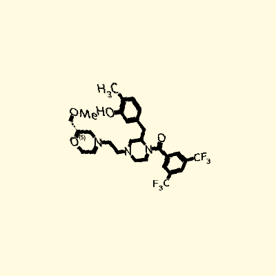 COC[C@@H]1CN(CCN2CCN(C(=O)c3cc(C(F)(F)F)cc(C(F)(F)F)c3)C(Cc3ccc(C)c(O)c3)C2)CCO1